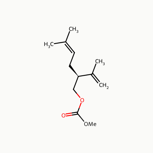 C=C(C)[C@H](CC=C(C)C)COC(=O)OC